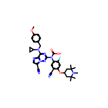 COc1ccc(CN(c2nc(N(C(=O)O)c3cc(C#N)c(OC4CC(C)(C)N(C)C(C)(C)C4)cc3F)nn3c(C#N)cnc23)C2CC2)cc1